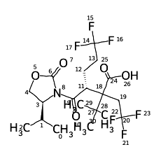 CC(C)[C@H]1COC(=O)N1C(=O)[C@H](CCC(F)(F)F)C(CC(F)(F)F)(C(=O)O)C(C)(C)C